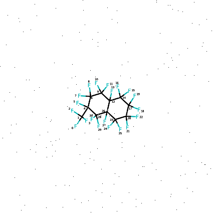 FC(F)(F)C1(F)C(F)(F)C(F)(F)C2(F)C(F)(F)C(F)(F)C(F)(F)C(F)(F)C2(F)C1(F)F